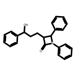 O=C1C(CCC(O)c2ccccc2)C(c2ccccc2)N1c1ccccc1